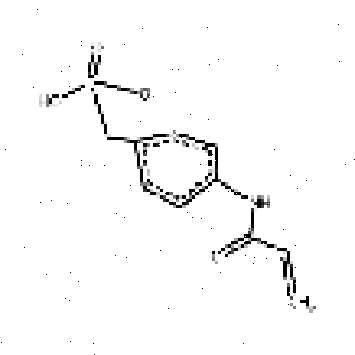 C=CC(=O)Nc1ccc(CP(=O)(O)O)cc1